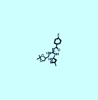 Cc1cc(N/C(=N\C(=O)c2ccc(F)cc2)NCC2COC(C)(C)O2)[nH]n1